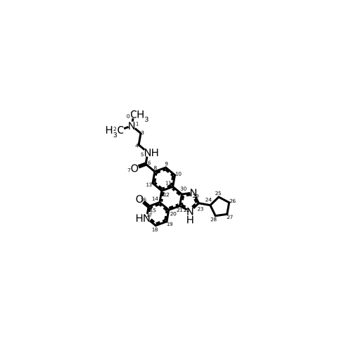 CN(C)CCNC(=O)c1ccc2c(c1)c1c(=O)[nH]ccc1c1[nH]c(C3CCCC3)nc21